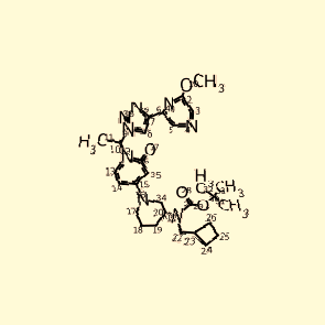 COc1cncc(-c2cn(C(C)n3ccc(N4CCC[C@@H](N(CC5CCC5)C(=O)OC(C)(C)C)C4)cc3=O)nn2)n1